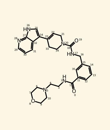 O=C(NCCN1CCOCC1)c1cccc(CNC(=O)N2CC=C(c3c[nH]c4ncccc34)CC2)c1